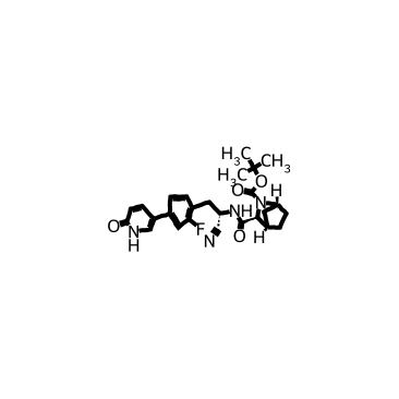 CC(C)(C)OC(=O)N1[C@@H]2CC[C@@H](C2)[C@H]1C(=O)N[C@H](C#N)Cc1ccc(-c2ccc(=O)[nH]c2)cc1F